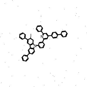 I[C@H]1Cc2c(c3cc(-c4ccccc4)ccc3n2-c2cccc(-c3cc(-c4ccc(-c5ccccc5)cc4)cc(-c4ccccc4)n3)c2)C=C1c1ccccc1